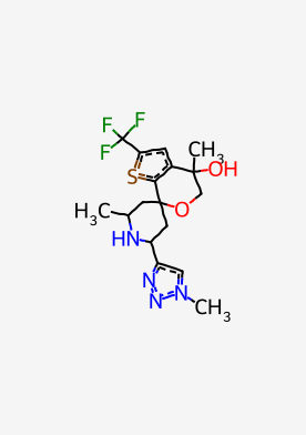 CC1CC2(CC(c3cn(C)nn3)N1)OCC(C)(O)c1cc(C(F)(F)F)sc12